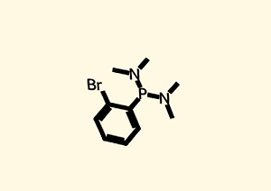 CN(C)P(c1ccccc1Br)N(C)C